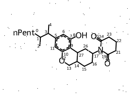 CCCCCC(C)C(C)c1cc(O)c2c(c1)OCC1CCC(N3C(=O)CCCC3=O)CC21